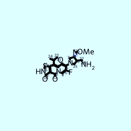 CO/N=C1/CN(c2c(F)cn3c(=O)c4c(=O)[nH]sc4c4c3c2OCC4C)CC1CN